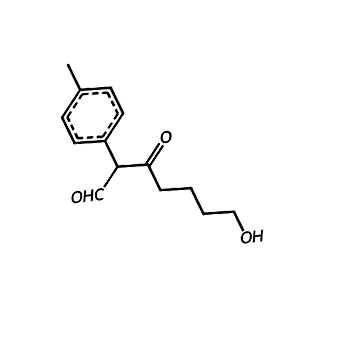 Cc1ccc(C(C=O)C(=O)CCCCO)cc1